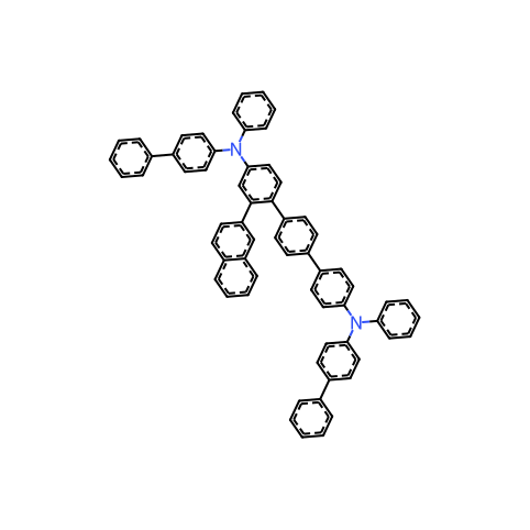 c1ccc(-c2ccc(N(c3ccccc3)c3ccc(-c4ccc(-c5ccc(N(c6ccccc6)c6ccc(-c7ccccc7)cc6)cc5-c5ccc6ccccc6c5)cc4)cc3)cc2)cc1